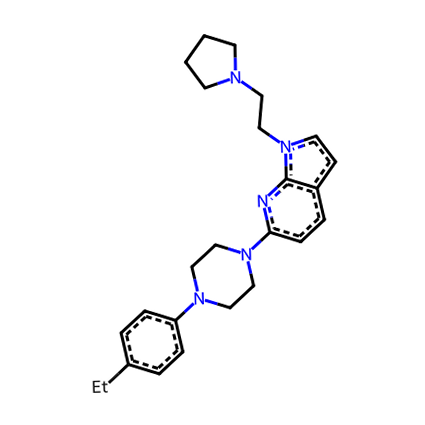 CCc1ccc(N2CCN(c3ccc4ccn(CCN5CCCC5)c4n3)CC2)cc1